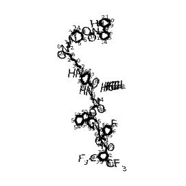 CN(CCN1CCC(OC(=O)Nc2ccccc2-c2ccccc2)CC1)C(=O)CCCCCNc1ccc(C(=O)NCCN(C)C(=O)CO[C@H]2Cc3ccccc3C23CCN(CC[C@@]2(c4ccc(F)cc4)CN(C(=O)c4cc(C(F)(F)F)cc(C(F)(F)F)c4)CO2)CC3)cc1.Cl.Cl.Cl